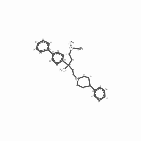 CC(C)N(CCC(C#N)(CCN1CCC(c2ccccc2)CC1)c1ccc(-c2ccccc2)cc1)C(C)C